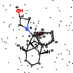 CO[C@H]1C[C@H]2CCC[C@@H](C1)[C@@]2(CC(=O)N1CC(O)C1)c1ccccc1